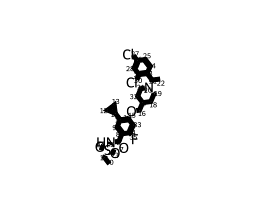 CCS(=O)(=O)NC(=O)c1cc(C2CC2)c(OCC2CCN(C(C)c3ccc(Cl)cc3Cl)CC2)cc1F